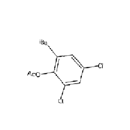 CCC(C)c1cc(Cl)cc(Cl)c1OC(C)=O